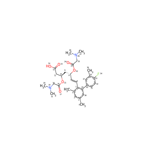 Cc1cc(C)c(/C=C/[C@H](C[C@H](CC(=O)O)OC(=O)CN(C)C)OC(=O)CN(C)C)c(-c2ccc(F)c(C)c2)c1